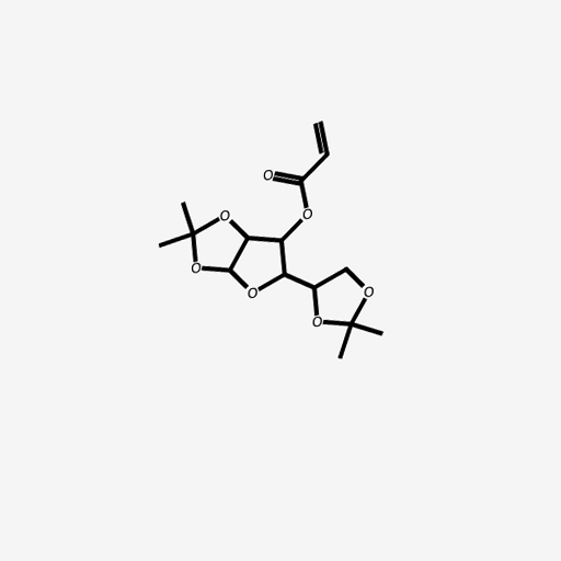 C=CC(=O)OC1C(C2COC(C)(C)O2)OC2OC(C)(C)OC21